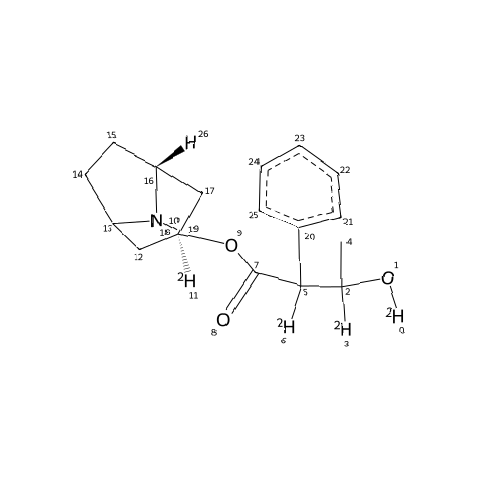 [2H]OC([2H])(C)C([2H])(C(=O)O[C@@]1([2H])CC2CC[C@H](C1)N2C)c1ccccc1